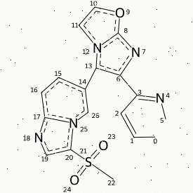 C/C=C\C(=N/C)c1nc2occn2c1-c1ccc2ncc(S(C)(=O)=O)n2c1